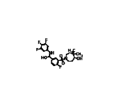 CC1(C)CCN(S(=O)(=O)c2cc(C(O)Nc3cc(F)c(F)c(F)c3)ccc2F)CCC1O